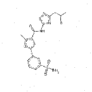 CC(=O)Cc1nsc(NC(=O)c2cc(-c3cccc(S(N)(=O)=O)c3)oc2C)n1